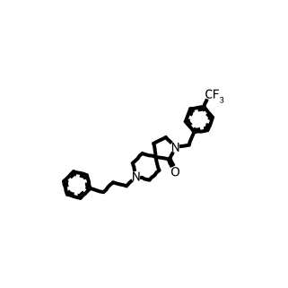 O=C1N(Cc2ccc(C(F)(F)F)cc2)CCC12CCN(CCCc1ccccc1)CC2